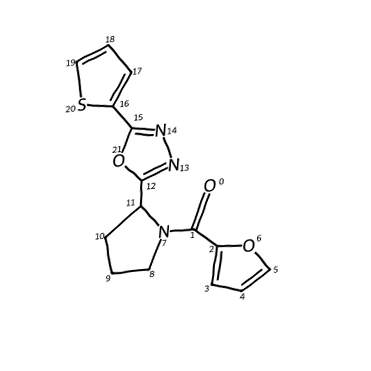 O=C(c1ccco1)N1CCCC1c1nnc(-c2cccs2)o1